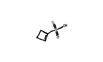 O=S(=O)(O)C1=CCC1